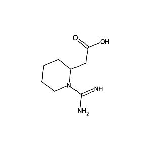 N=C(N)N1CCCCC1CC(=O)O